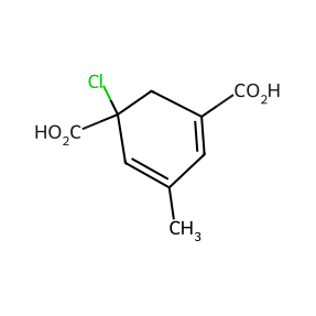 CC1=CC(Cl)(C(=O)O)CC(C(=O)O)=C1